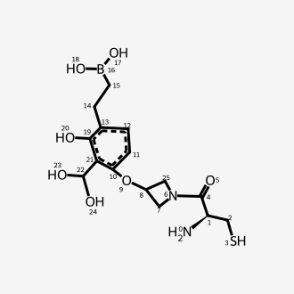 N[C@H](CS)C(=O)N1CC(Oc2ccc(CCB(O)O)c(O)c2C(O)O)C1